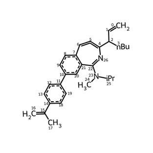 C=CC(CCCC)C1=C=Cc2ccc(-c3ccc(C(=C)C)cc3)cc2C(N(C)C(C)C)=N1